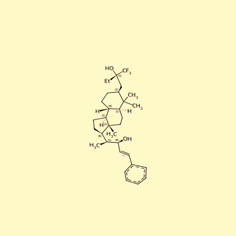 CC[C@](O)(C[C@@H]1CC[C@@H]2[C@H](CC[C@]3(C)[C@@H]([C@H](C)[C@@H](O)/C=C/c4ccccc4)CC[C@@H]23)C1(C)C)C(F)(F)F